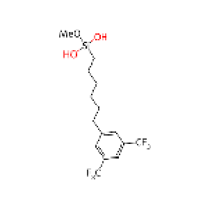 CO[Si](O)(O)CCCCCCc1cc(C(F)(F)F)cc(C(F)(F)F)c1